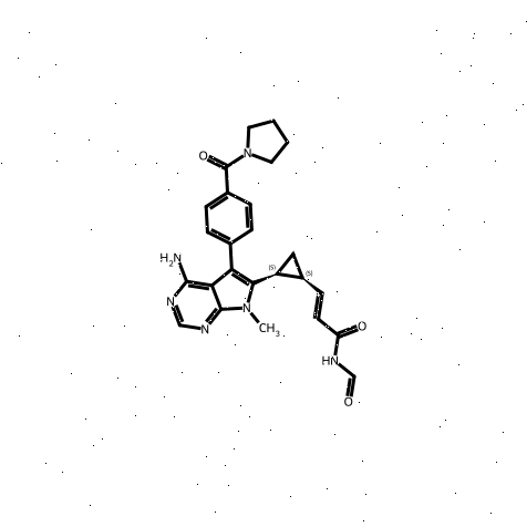 Cn1c([C@H]2C[C@H]2C=CC(=O)NC=O)c(-c2ccc(C(=O)N3CCCC3)cc2)c2c(N)ncnc21